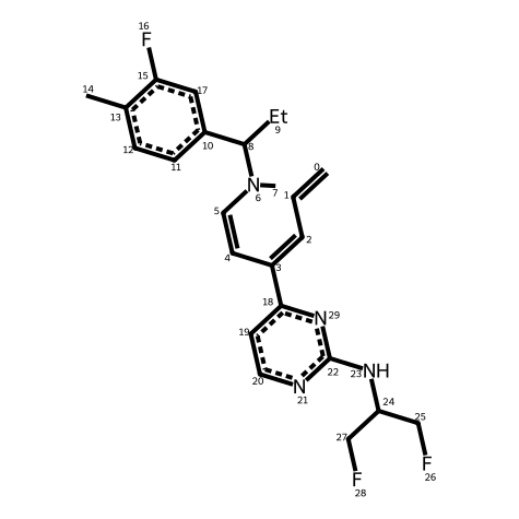 C=C/C=C(\C=C/N(C)C(CC)c1ccc(C)c(F)c1)c1ccnc(NC(CF)CF)n1